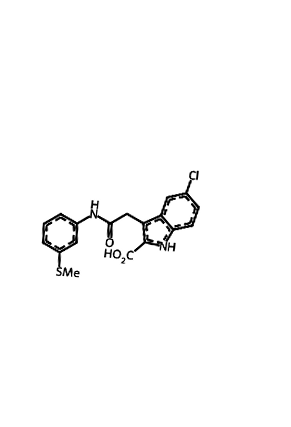 CSc1cccc(NC(=O)Cc2c(C(=O)O)[nH]c3ccc(Cl)cc23)c1